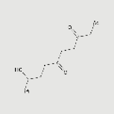 CCCC(O)CCC(=O)CCC(=O)CC(C)=O